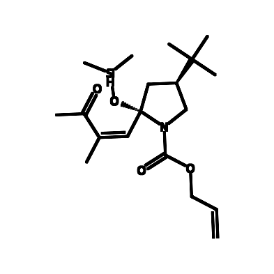 C=CCOC(=O)N1C[C@H](C(C)(C)C)C[C@@]1(C=C(C)C(C)=O)O[SiH](C)C